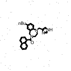 CCCCc1ccc2c(c1)CN(C(=O)c1cccc3ccccc13)CCN2Cc1c[nH]cn1